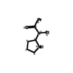 CCN(C(=O)C(C)C)C1CCCN1